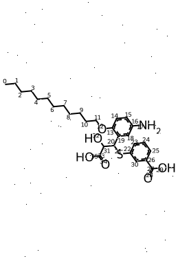 CCCCCCCCCCCCOc1ccc(N)cc1C(Sc1cccc(C(=O)O)c1)C(O)C(=O)O